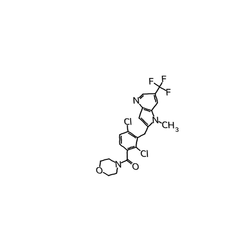 Cn1c(Cc2c(Cl)ccc(C(=O)N3CCOCC3)c2Cl)cc2ncc(C(F)(F)F)cc21